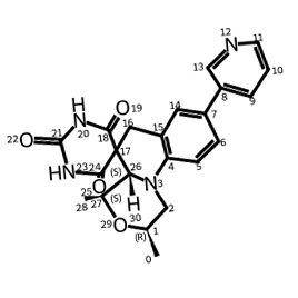 C[C@@H]1CN2c3ccc(-c4cccnc4)cc3CC3(C(=O)NC(=O)NC3=O)[C@H]2[C@H](C)O1